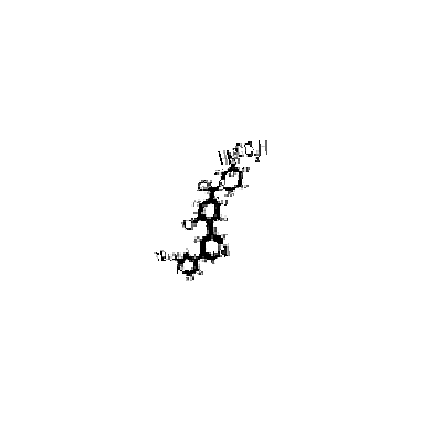 CC(C)(C)c1cc(-c2cncc(-c3ccc(C(=O)N4CCCC(NC(=O)O)C4)cc3Cl)c2)ccn1